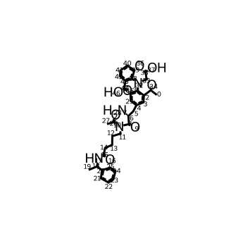 CCc1cc(C[C@H](N)C(=O)N(CCCCC(=O)NC(C)c2ccccc2)C(C)=O)ccc1N(C(=O)C(=O)O)c1ccccc1C(=O)O